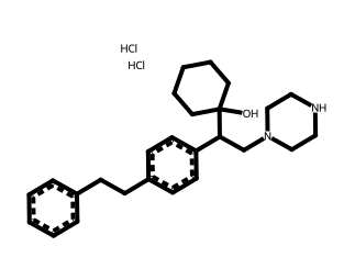 Cl.Cl.OC1(C(CN2CCNCC2)c2ccc(CCc3ccccc3)cc2)CCCCC1